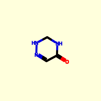 O=C1C=NNCN1